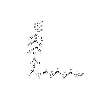 CC(=O)[O-].CC(=O)[O-].O=[As][O-].O=[As][O-].O=[As][O-].O=[As][O-].O=[As][O-].O=[As][O-].[Cu+2].[Cu+2].[Cu+2].[Cu+2]